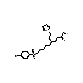 COC(=O)CCC(CCCCNS(=O)(=O)c1ccc(Cl)cc1)CCn1ccnc1